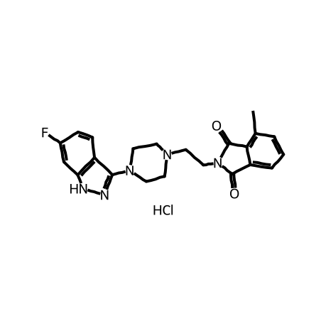 Cc1cccc2c1C(=O)N(CCN1CCN(c3n[nH]c4cc(F)ccc34)CC1)C2=O.Cl